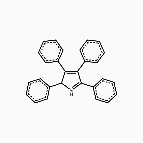 c1ccc(C2=[SiH]C(c3ccccc3)C(c3ccccc3)=C2c2ccccc2)cc1